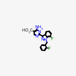 Nc1nc(-c2nn(Cc3ccccc3F)c3c(F)cccc23)ncc1C(=O)O